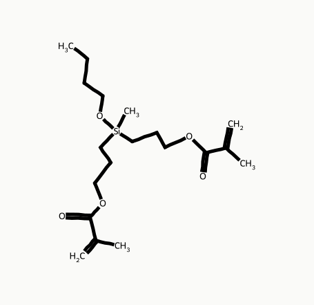 C=C(C)C(=O)OCCC[Si](C)(CCCOC(=O)C(=C)C)OCCCC